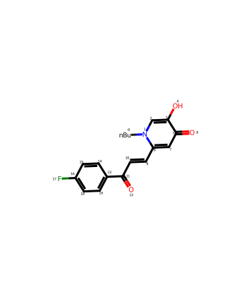 CCCCn1cc(O)c(=O)cc1C=CC(=O)c1ccc(F)cc1